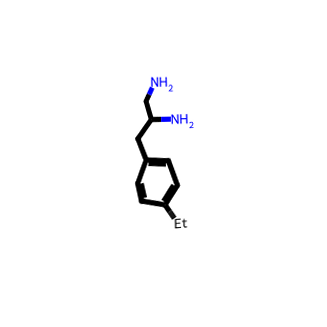 CCc1ccc(CC(N)CN)cc1